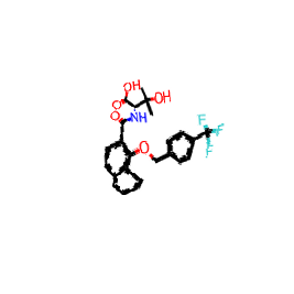 CC(C)(O)[C@H](NC(=O)c1ccc2ccccc2c1OCc1ccc(C(F)(F)F)cc1)C(=O)O